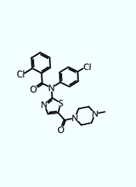 CN1CCN(C(=O)c2cnc(N(C(=O)c3ccccc3Cl)c3ccc(Cl)cc3)s2)CC1